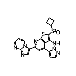 [O-][S+](c1sc2nc(-c3cnc4ncccn34)cc3c2c1[nH]n1nccc31)C1CCC1